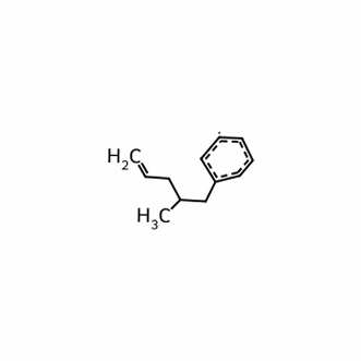 C=CCC(C)Cc1c[c]ccc1